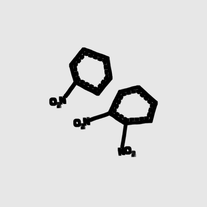 O=[N+]([O-])c1ccccc1.O=[N+]([O-])c1ccccc1[N+](=O)[O-]